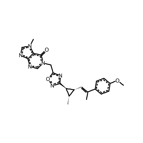 COc1ccc(/C(C)=C/[C@@H]2[C@H](C)[C@H]2c2noc(Cn3cnc4ncn(C)c4c3=O)n2)cc1